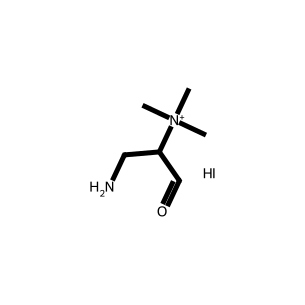 C[N+](C)(C)C(C=O)CN.I